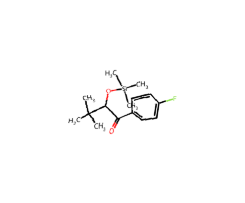 CC(C)(C)C(O[Si](C)(C)C)C(=O)c1ccc(F)cc1